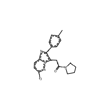 Cc1ccc(-c2nc3ccc(Cl)nn3c2CC(=O)N2CCCC2)cc1